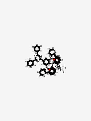 C[Si]1(C)c2ccccc2N(c2c(-n3c4ccccc4c4ncccc43)cc(-c3nc(-c4ccccc4)nc(-c4ccccc4)n3)cc2-n2c3ccccc3c3ncccc32)c2ccccc21